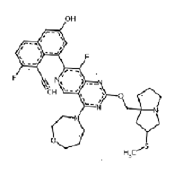 C#Cc1c(F)ccc2cc(O)cc(-c3ncc4c(N5CCCOCC5)nc(OCC56CCCN5CC(SC)C6)nc4c3F)c12